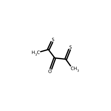 CC(=S)C(=O)C(C)=S